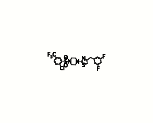 O=S(=O)(c1cc(C(F)(F)F)ccc1Cl)N1CCN(c2nc(Cc3cc(F)cc(F)c3)cs2)CC1